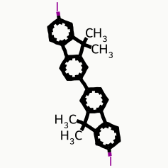 CC1(C)c2cc(I)ccc2-c2ccc(-c3ccc4c(c3)C(C)(C)c3cc(I)ccc3-4)cc21